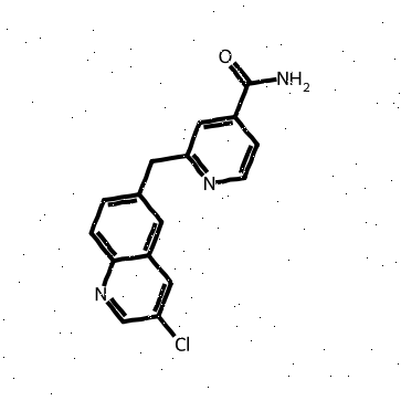 NC(=O)c1ccnc(Cc2ccc3ncc(Cl)cc3c2)c1